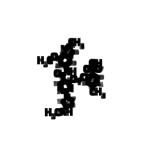 CCOc1nc(N2CCC(NC)C2)ncc1C(=O)Nc1cc(OC)c2nn(C)cc2c1.Cc1ccc(S(=O)(=O)O)cc1